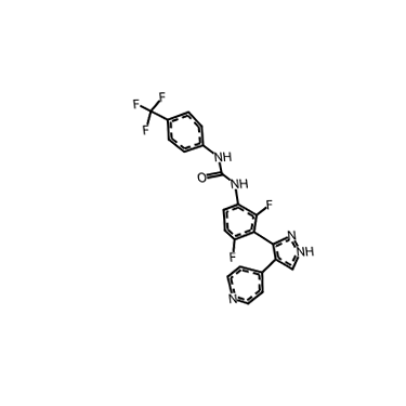 O=C(Nc1ccc(C(F)(F)F)cc1)Nc1ccc(F)c(-c2n[nH]cc2-c2ccncc2)c1F